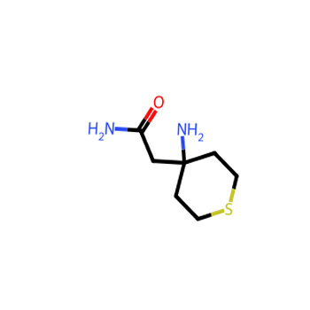 NC(=O)CC1(N)CCSCC1